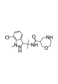 CN1NC(C(C)(C)NC(=O)C2CNCCOC2)c2cccc(Cl)c21